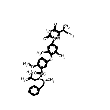 C=C(N)CN(B(C)Cc1ccccc1)S(=O)(=O)c1cc(Oc2c(C)cc(-n3nc(C(P)P)c(=O)[nH]c3=O)cc2C)ccc1ON